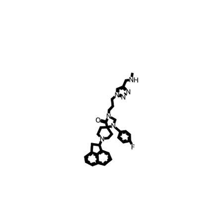 CNCc1cn(CCCN2CN(c3ccc(F)cc3)C3(CCN(C4Cc5cccc6cccc4c56)CC3)C2=O)nn1